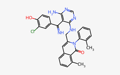 Cc1ccccc1-n1c(CNc2ncnc(N)c2C(=N)c2ccc(O)c(Cl)c2)cc2cccc(C)c2c1=O